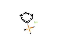 C[P](C)(C)c1ccccc1.F